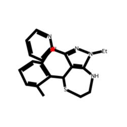 CCn1nc(-c2ccccn2)c2c1NCCSC2c1c(C)cccc1C#N